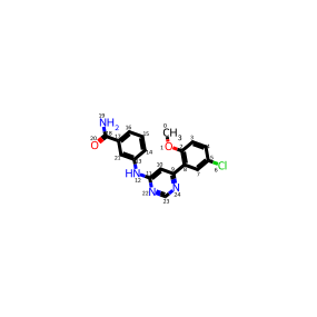 COc1ccc(Cl)cc1-c1cc(Nc2cccc(C(N)=O)c2)ncn1